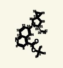 CC(C)(C)OC(=O)c1ccnc2ccc(N3CC4(CC4)C[C@@H]3CF)cc12